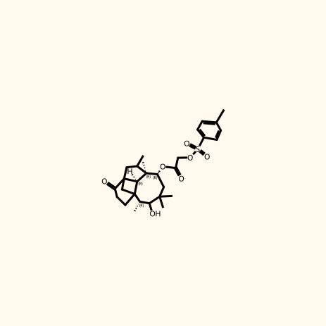 Cc1ccc(S(=O)(=O)OCC(=O)O[C@@H]2CC(C)(C)C(O)[C@H](C)C34CCC(=O)C5(CC(C)[C@]2(C)[C@H]53)C4)cc1